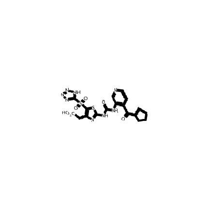 O=C(O)Cc1nc(NC(=O)Nc2cnccc2C(=O)C2CCCC2)sc1S(=O)(=O)c1nnn[nH]1